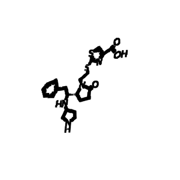 O=C(O)c1csc(SCCN2C(=O)CC[C@@H]2C(Cc2ccccc2)NC2CCNC2)n1